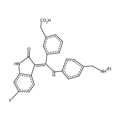 CCNCc1ccc(NC(=C2C(=O)Nc3cc(F)ccc32)c2cccc(CC(=O)O)c2)cc1